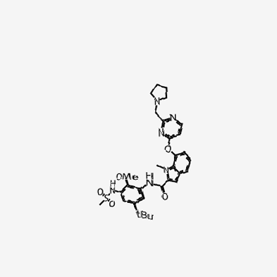 COc1c(NC(=O)c2cc3cccc(Oc4ccnc(CN5CCCC5)n4)c3n2C)cc(C(C)(C)C)cc1NS(C)(=O)=O